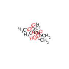 C=CC(=O)O.C=CC(=O)O.CCOC(=O)C(C)=C(C)C